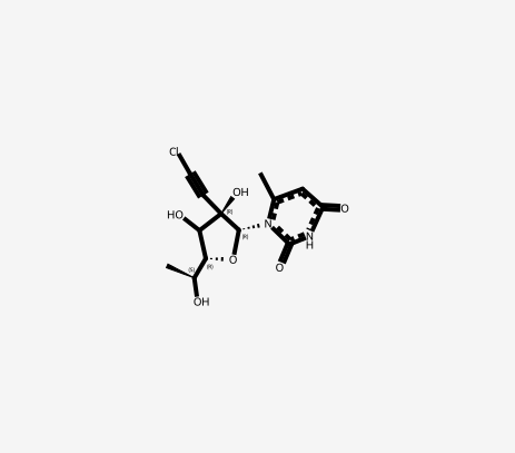 Cc1cc(=O)[nH]c(=O)n1[C@@H]1O[C@H]([C@H](C)O)C(O)[C@]1(O)C#CCl